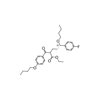 CCCCOc1ccc(C(=O)C(CC[C@H](OCCCC)c2ccc(F)cc2)C(=O)OCC)cc1